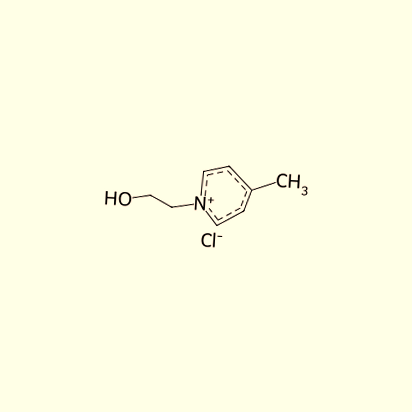 Cc1cc[n+](CCO)cc1.[Cl-]